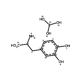 NC(Cc1ccc(O)c(O)c1)C(=O)O.OB(O)O